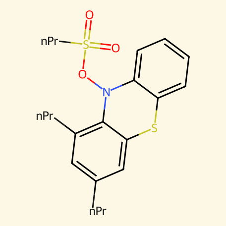 CCCc1cc(CCC)c2c(c1)Sc1ccccc1N2OS(=O)(=O)CCC